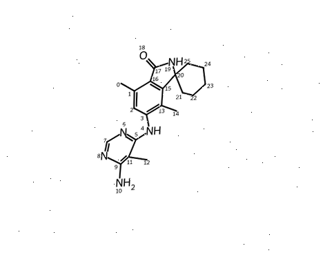 Cc1cc(Nc2ncnc(N)c2C)c(C)c2c1C(=O)NC21CCCCC1